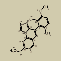 COc1ccc(C)c(-c2cc3cnc(SC)nc3n3cnnc23)c1Cl